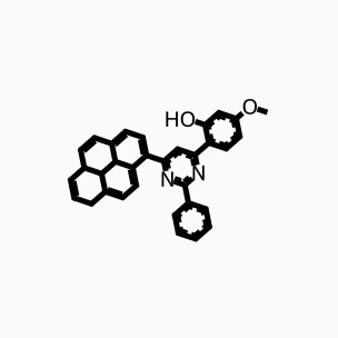 COc1ccc(-c2cc(C3=CC=C4C=CC5C=CCC6=CC=C3C4C65)nc(-c3ccccc3)n2)c(O)c1